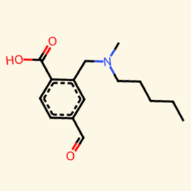 CCCCCN(C)Cc1cc(C=O)ccc1C(=O)O